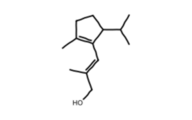 CC1=C(/C=C(\C)CO)C(C(C)C)CC1